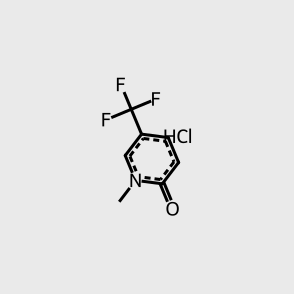 Cl.Cn1cc(C(F)(F)F)ccc1=O